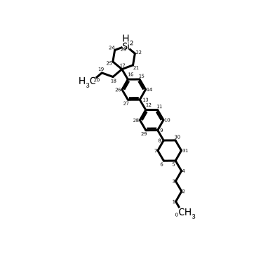 CCCCCC1CCC(c2ccc(-c3ccc(C4(CCC)CC[SiH2]CC4)cc3)cc2)CC1